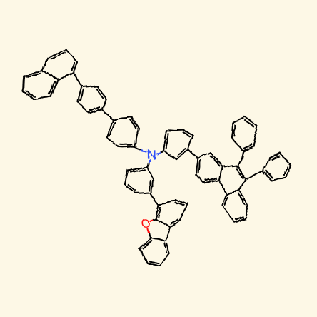 c1ccc(-c2c(-c3ccccc3)c3cc(-c4cccc(N(c5ccc(-c6ccc(-c7cccc8ccccc78)cc6)cc5)c5cccc(-c6cccc7c6oc6ccccc67)c5)c4)ccc3c3ccccc23)cc1